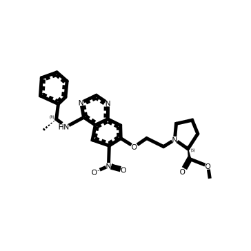 COC(=O)[C@@H]1CCCN1CCOc1cc2ncnc(N[C@H](C)c3ccccc3)c2cc1[N+](=O)[O-]